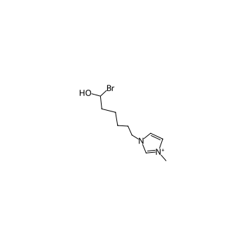 C[n+]1ccn(CCCCCC(O)Br)c1